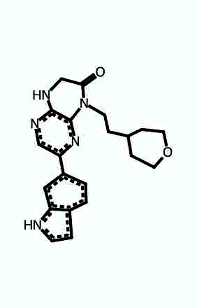 O=C1CNc2ncc(-c3ccc4cc[nH]c4c3)nc2N1CCC1CCOCC1